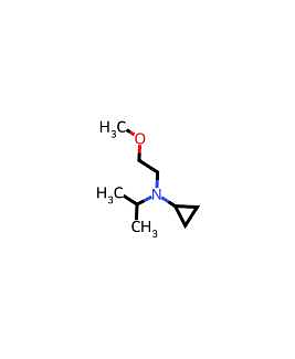 COCCN(C(C)C)C1CC1